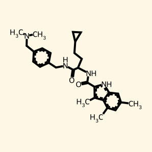 Cc1cc(C)c2c(C)c(C(=O)NC(CCC3CC3)C(=O)NCc3ccc(CN(C)C)cc3)[nH]c2c1